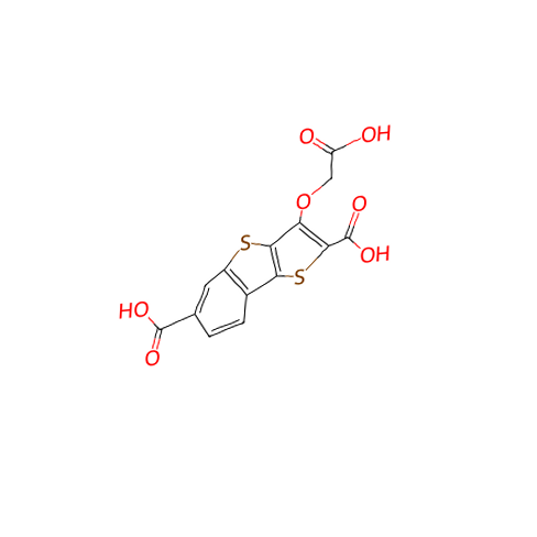 O=C(O)COc1c(C(=O)O)sc2c1sc1cc(C(=O)O)ccc12